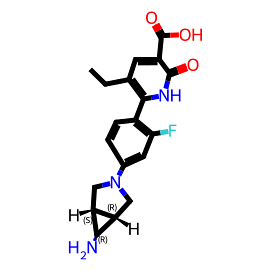 CCc1cc(C(=O)O)c(=O)[nH]c1-c1ccc(N2C[C@@H]3[C@H](N)[C@@H]3C2)cc1F